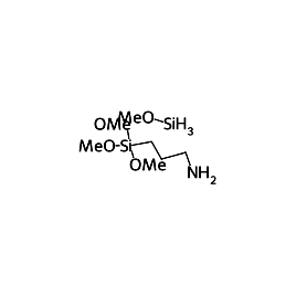 CO[SiH3].CO[Si](CCCN)(OC)OC